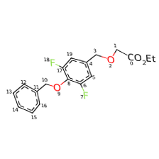 CCOC(=O)COCc1cc(F)c(OCc2ccccc2)c(F)c1